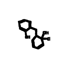 Oc1ccccc1CC1C=CC=CC1(O)Cl